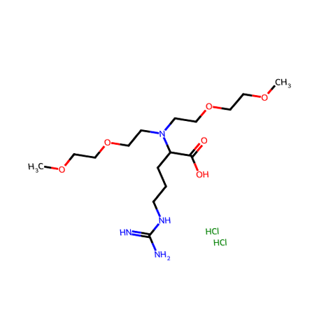 COCCOCCN(CCOCCOC)C(CCCNC(=N)N)C(=O)O.Cl.Cl